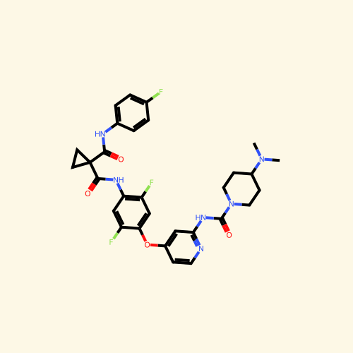 CN(C)C1CCN(C(=O)Nc2cc(Oc3cc(F)c(NC(=O)C4(C(=O)Nc5ccc(F)cc5)CC4)cc3F)ccn2)CC1